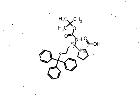 CC(C)(C)OC(=O)N[C@@H](CCSC(c1ccccc1)(c1ccccc1)c1ccccc1)N1CCC[C@H]1C(=O)O